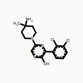 CC1(N)CCN(c2cnc(O)c(-c3cccc(Cl)c3Cl)n2)CC1